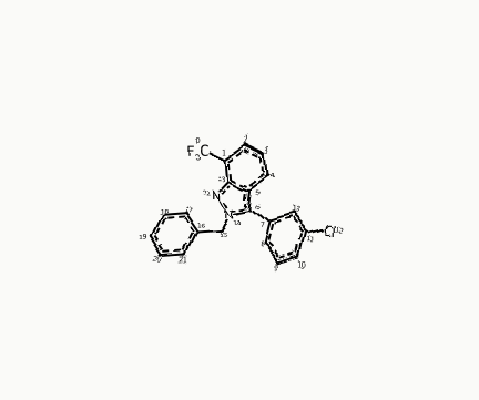 FC(F)(F)c1cccc2c(-c3cccc(Cl)c3)n(Cc3ccccc3)nc12